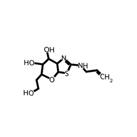 C=CCNC1=NC2C(OC(CCO)C(O)C2O)S1